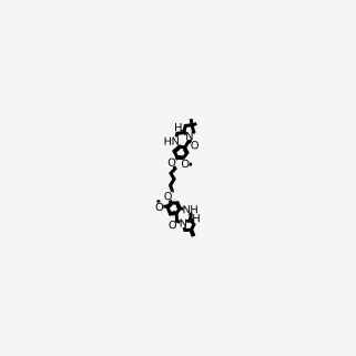 C=C1C[C@H]2CNc3cc(OCCCCCOc4cc5c(cc4OC)C(=O)N4CC(C)(C)C[C@H]4CN5)c(OC)cc3C(=O)N2C1